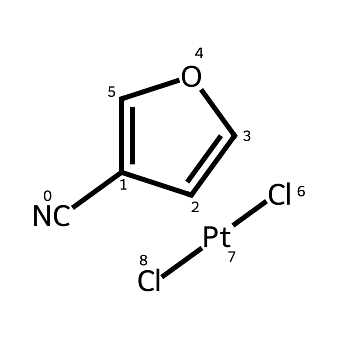 N#Cc1ccoc1.[Cl][Pt][Cl]